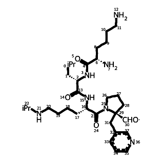 CC(C)C[C@H](NC(=O)[C@@H](N)CCCCN)C(=O)N[C@@H](CCCCNC(C)C)C(=O)N1CCC[C@]1([C]=O)Cc1cccnc1